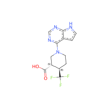 O=C(O)[C@@H]1CN(c2ncnc3[nH]ccc23)CC[C@H]1C(F)(F)F